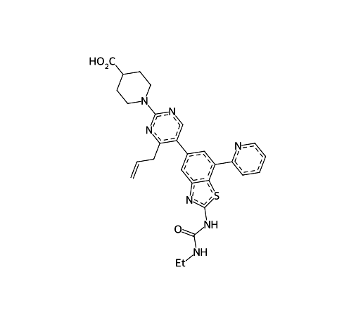 C=CCc1nc(N2CCC(C(=O)O)CC2)ncc1-c1cc(-c2ccccn2)c2sc(NC(=O)NCC)nc2c1